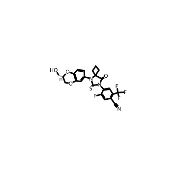 N#Cc1cc(F)c(N2C(=O)C3(CCC3)N(c3ccc4c(c3)OC[C@H](CO)O4)C2=S)cc1C(F)(F)F